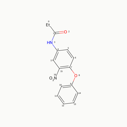 CCC(=O)Nc1ccc(Oc2ccccc2)c([N+](=O)[O-])c1